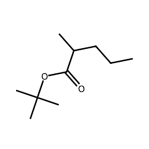 CCCC(C)C(=O)OC(C)(C)C